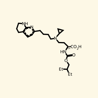 CCC(CC)COC(=O)N[C@@H](CCN(CCCCc1ccc2c(n1)NCCC2)C1CC1)C(=O)O